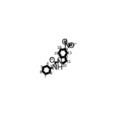 O=C(Nc1ccccc1)n1ccc2cc([N+](=O)[O-])ccc21